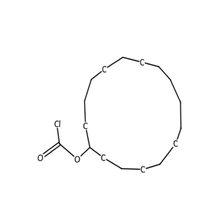 O=C(Cl)OC1CCCCCCCCCCCCCCC1